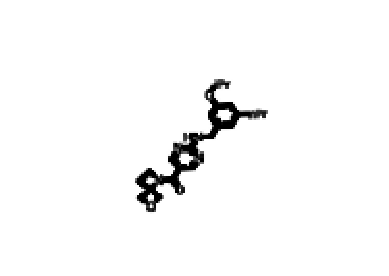 CCCc1cc(CNc2ncc(C(=O)N3CCC34COC4)cn2)cc(OC(C)C)c1